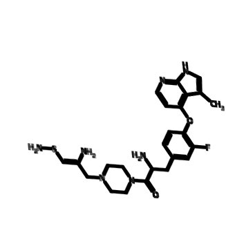 Cc1c[nH]c2nccc(Oc3ccc(CC(N)C(=O)N4CCN(C/C(N)=C/SN)CC4)cc3F)c12